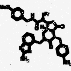 CCCN(C(=O)NCc1ccc(OC)cc1)N1CC(=O)N2[C@@H](Cc3ccc(N)cc3)C(=O)N(Cc3cccc4sc(N)nc34)C[C@@H]21